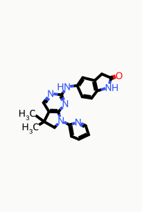 CC1(C)CN(c2ccccn2)c2nc(Nc3ccc4c(c3)CC(=O)N4)ncc21